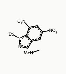 CCn1ncc2cc([N+](=O)[O-])cc([N+](=O)[O-])c21.CNC